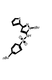 CCCCc1ccc(S(=O)(=O)Nc2cc(-c3cccs3)nn2C(C)(C)C)cc1